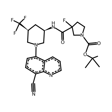 CC(C)(C)OC(=O)N1CCC(F)(C(=O)N[C@@H]2C[C@H](C(F)(F)F)CN(c3ccc(C#N)c4ncccc34)C2)C1